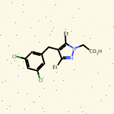 CCc1nn(CC(=O)O)c(CC)c1Cc1cc(Cl)cc(Cl)c1